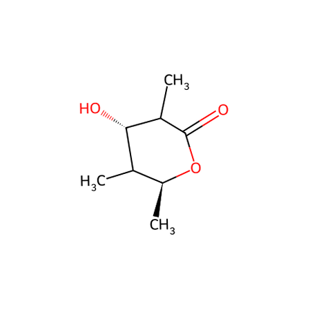 CC1C(=O)O[C@@H](C)C(C)[C@@H]1O